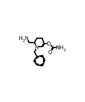 NCC1CCC(OC(N)=O)=CN1Cc1ccccc1